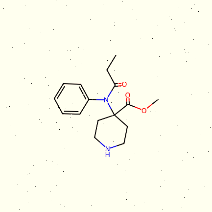 CCC(=O)N(c1ccccc1)C1(C(=O)OC)CCNCC1